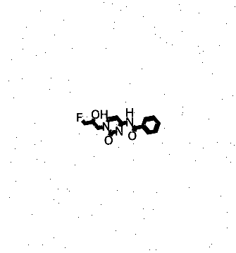 O=C(Nc1ccn(CC(O)CF)c(=O)n1)c1ccccc1